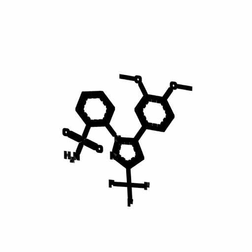 COc1ccc(-c2cc(C(F)(F)F)nn2-c2ccccc2S(N)(=O)=O)cc1OC